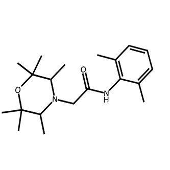 Cc1cccc(C)c1NC(=O)CN1C(C)C(C)(C)OC(C)(C)C1C